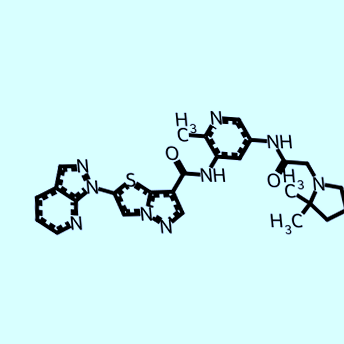 Cc1ncc(NC(=O)CN2CCCC2(C)C)cc1NC(=O)c1cnn2cc(-n3ncc4cccnc43)sc12